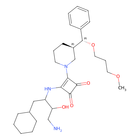 COCCCO[C@@H](c1ccccc1)[C@@H]1CCCN(c2c(NC(CC3CCCCC3)C(O)CN)c(=O)c2=O)C1